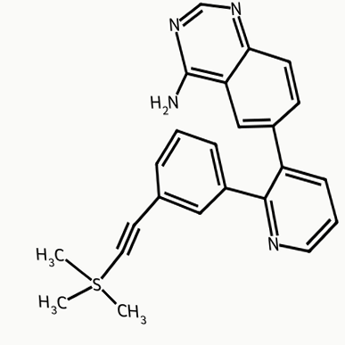 CS(C)(C)C#Cc1cccc(-c2ncccc2-c2ccc3ncnc(N)c3c2)c1